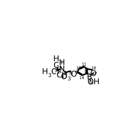 CC(C)(C)NC(=O)COc1ccc2c(c1)B(O)OC2